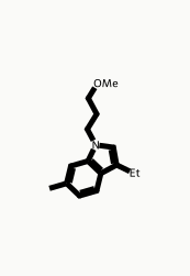 CCc1cn(CCCOC)c2cc(C)ccc12